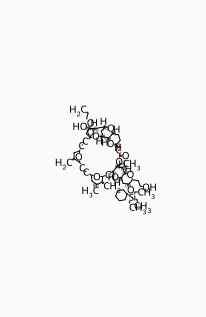 C=CCO[C@@]1(O)CC23CCC4CC(=C)C(CCC5C[C@@H](C)C(=C)C(C[C@@H]6O[C@H]7C[C@@H](OC8([Si](CC)(CC)CC)CCCCC8)C(CCO)O[C@H]7[C@H](C)[C@H]6OC(=O)C[C@H]6CC[C@@H]7O[C@H](C[C@@H](O2)[C@H]7O6)[C@H]1O3)O5)O4